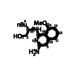 CCCC[C@H](CO)Nc1nc(N)cc2cccc(OC)c12